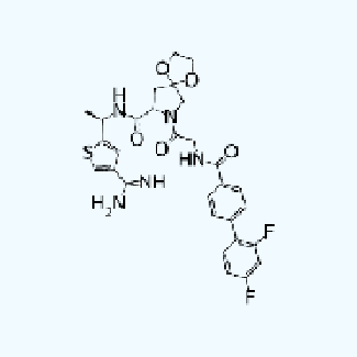 C[C@@H](NC(=O)C1CC2(CN1C(=O)CNC(=O)c1ccc(-c3ccc(F)cc3F)cc1)OCCO2)c1cc(C(=N)N)cs1